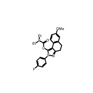 CCN(CC)C(=O)Oc1c2c(nn1-c1ccc(F)cc1)CCc1cc(OC)ccc1-2